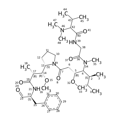 CC[C@H](C)C([C@@H](CC(=O)N1CCC[C@H]1[C@H](OC)[C@@H](C)C(=O)N[C@H](C=O)Cc1ccccc1)OC)N(C)C(=O)CNC(=O)C(C(C)C)N(C)C